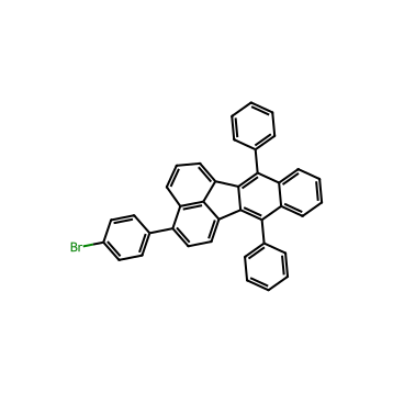 Brc1ccc(-c2ccc3c4c(cccc24)-c2c-3c(-c3ccccc3)c3ccccc3c2-c2ccccc2)cc1